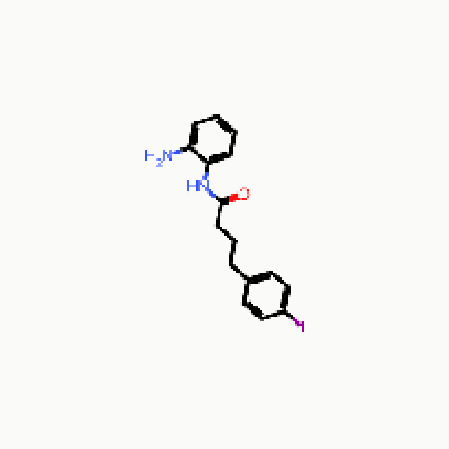 Nc1ccccc1NC(=O)CCCc1ccc(I)cc1